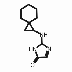 O=C1C=NC(NC2CC23CCCCC3)N1